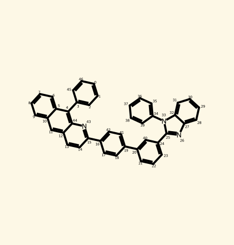 c1ccc(-c2c3ccccc3cc3ccc(-c4ccc(-c5cccc(-c6nc7ccccc7n6-c6ccccc6)c5)cc4)nc23)cc1